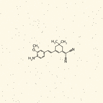 COc1cc(C=CC2=CC(=C(C#N)C#N)CC(C)(C)C2)ccc1N